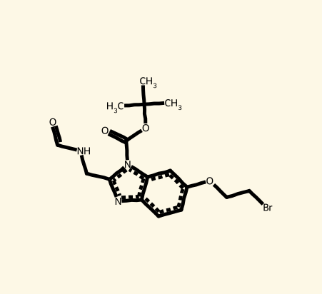 CC(C)(C)OC(=O)n1c(CNC=O)nc2ccc(OCCBr)cc21